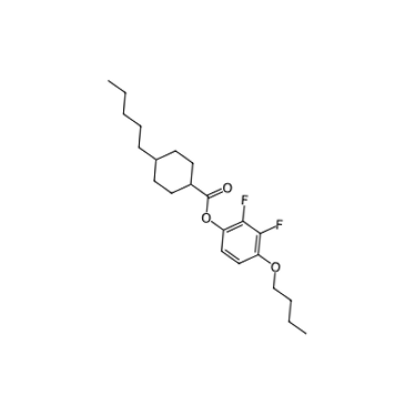 CCCCCC1CCC(C(=O)Oc2ccc(OCCCC)c(F)c2F)CC1